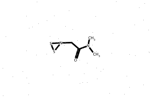 CN(C)C(=O)Cn1ss1